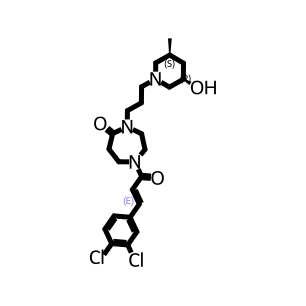 C[C@H]1C[C@@H](O)CN(CCCN2CCN(C(=O)/C=C/c3ccc(Cl)c(Cl)c3)CCC2=O)C1